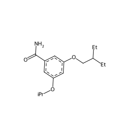 CCC(CC)COc1cc(OC(C)C)cc(C(N)=O)c1